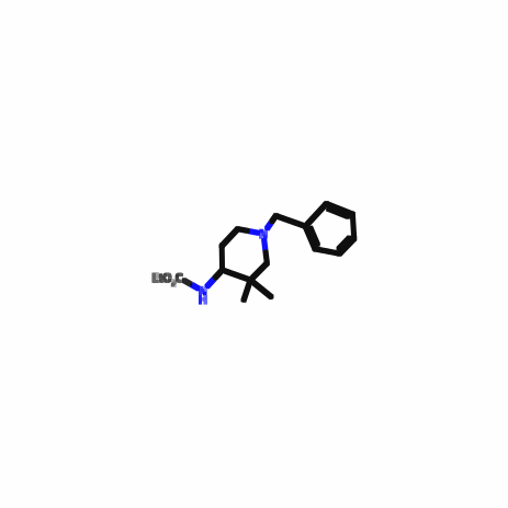 CCOC(=O)NC1CCN(Cc2ccccc2)CC1(C)C